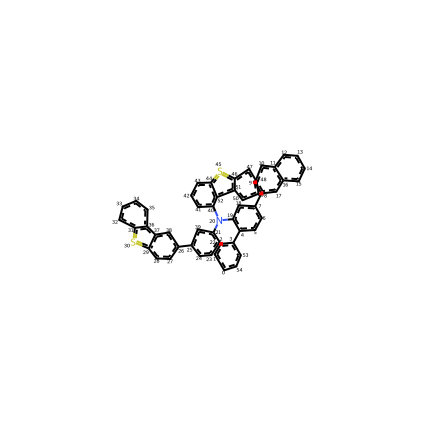 c1ccc(-c2ccc(-c3ccc4ccccc4c3)cc2N(c2cccc(-c3ccc4sc5ccccc5c4c3)c2)c2cccc3sc4ccccc4c23)cc1